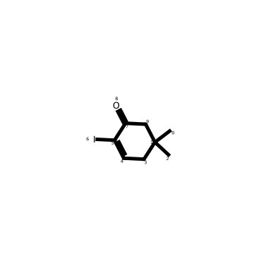 CC1(C)CC=C(I)C(=O)C1